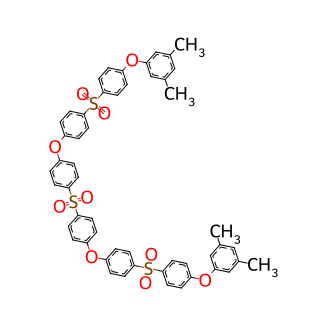 Cc1cc(C)cc(Oc2ccc(S(=O)(=O)c3ccc(Oc4ccc(S(=O)(=O)c5ccc(Oc6ccc(S(=O)(=O)c7ccc(Oc8cc(C)cc(C)c8)cc7)cc6)cc5)cc4)cc3)cc2)c1